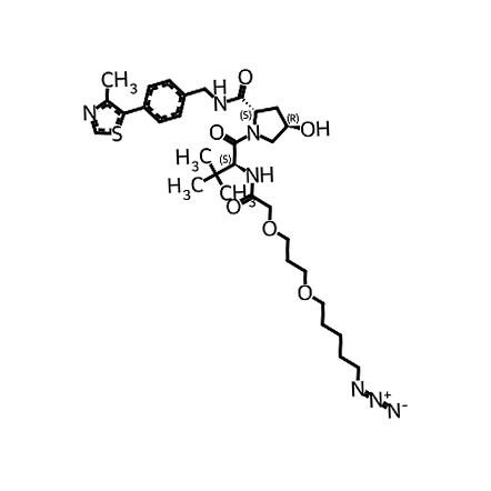 Cc1ncsc1-c1ccc(CNC(=O)[C@@H]2C[C@@H](O)CN2C(=O)[C@@H](NC(=O)COCCCOCCCCCN=[N+]=[N-])C(C)(C)C)cc1